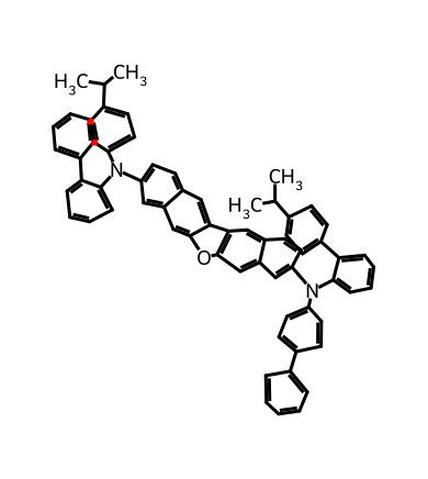 CC(C)c1ccc(-c2ccccc2N(c2ccc(-c3ccccc3)cc2)c2ccc3cc4c(cc3c2)oc2cc3cc(N(c5ccc(C(C)C)cc5)c5ccccc5-c5ccccc5)ccc3cc24)cc1